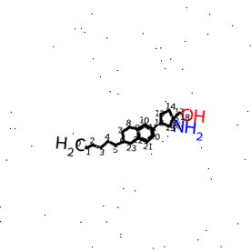 C=CCCCCC1CCc2cc([C@H]3CC[C@](N)(CO)C3)ccc2C1